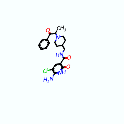 CC(C(=O)c1ccccc1)N1CCC(CNC(=O)c2cc(Cl)c(N)[nH]c2=O)CC1